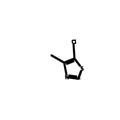 Cc1n[c]sc1Cl